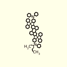 C=CC(C/C=C\C)N(c1ccccc1)c1ccc2c(c1)C1(c3ccccc3-c3ccccc31)c1cc3c4cccc5c6c(cc(c7cccc(c1-2)c73)c54)C1(c2ccccc2-c2ccccc21)c1cc(N(c2ccccc2)c2ccccc2)ccc1-6